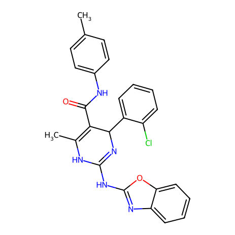 CC1=C(C(=O)Nc2ccc(C)cc2)C(c2ccccc2Cl)N=C(Nc2nc3ccccc3o2)N1